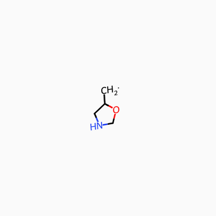 [CH2]C1CNCO1